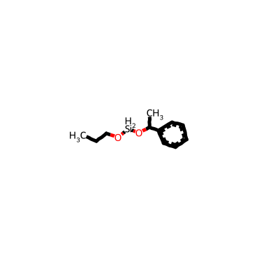 CCCO[SiH2]OC(C)c1ccccc1